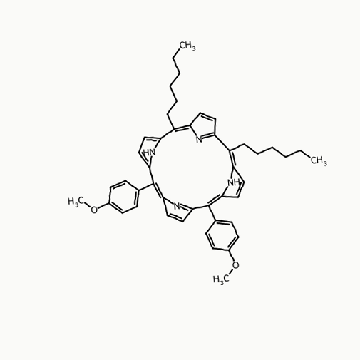 CCCCCCc1c2nc(c(CCCCCC)c3ccc([nH]3)c(-c3ccc(OC)cc3)c3nc(c(-c4ccc(OC)cc4)c4ccc1[nH]4)C=C3)C=C2